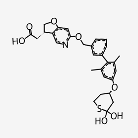 Cc1cc(O[C@@H]2CCSC(O)(O)C2)cc(C)c1-c1cccc(COc2cc3c(cn2)[C@H](CC(=O)O)CO3)c1